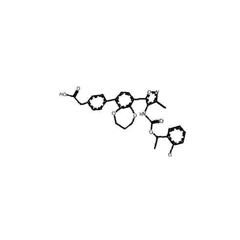 Cc1noc(-c2ccc(-c3ccc(CC(=O)O)cc3)c3c2OCCCO3)c1NC(=O)OC(C)c1ccccc1Cl